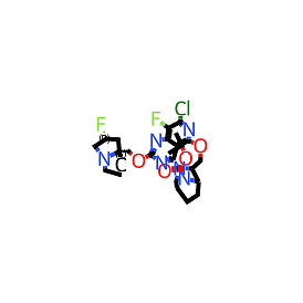 CC(C)(C)OC(=O)N1C2CCC1C1COc3nc(Cl)c(F)c4nc(OC[C@@]56CCCN5C[C@H](F)C6)nc(c34)N1C2